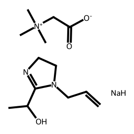 C=CCN1CCN=C1C(C)O.C[N+](C)(C)CC(=O)[O-].[NaH]